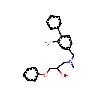 CN(Cc1ccc(-c2ccccc2)c(C(F)(F)F)c1)CC(O)COc1ccccc1